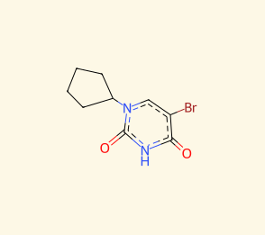 O=c1[nH]c(=O)n(C2CCCC2)cc1Br